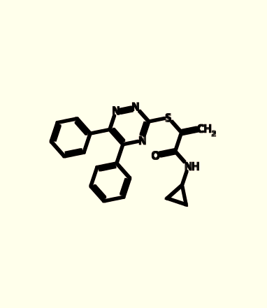 C=C(Sc1nnc(-c2ccccc2)c(-c2ccccc2)n1)C(=O)NC1CC1